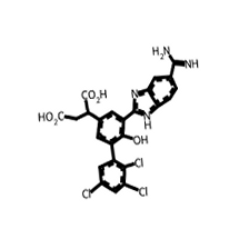 N=C(N)c1ccc2[nH]c(-c3cc(C(CC(=O)O)C(=O)O)cc(-c4cc(Cl)cc(Cl)c4Cl)c3O)nc2c1